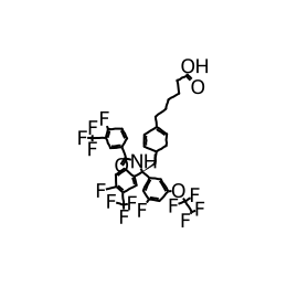 O=C(O)CCCCCC1=CCC(C[C@@](NC(=O)c2ccc(F)c(C(F)(F)F)c2)(c2cc(F)cc(OC(F)(F)C(F)F)c2)c2ccc(F)c(C(F)(F)F)c2)C=C1